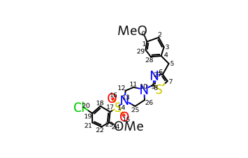 COc1ccc(Cc2csc(N3CCN(S(=O)(=O)c4cc(Cl)ccc4OC)CC3)n2)cc1